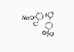 COc1ccc(-n2cccc2-c2ccc(S(C)(=O)=O)cc2)cc1Cl